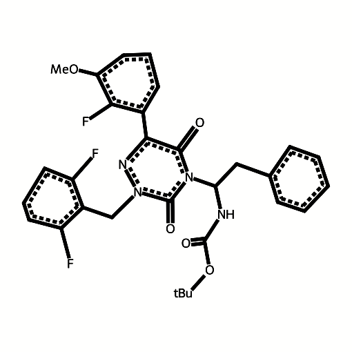 COc1cccc(-c2nn(Cc3c(F)cccc3F)c(=O)n(C(Cc3ccccc3)NC(=O)OC(C)(C)C)c2=O)c1F